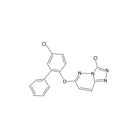 Clc1ccc(Oc2ccc3nnc(Cl)n3n2)c(-c2cc[c]cc2)c1